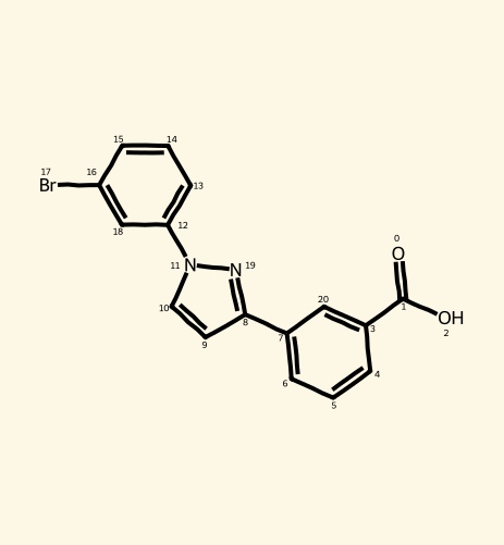 O=C(O)c1cccc(-c2ccn(-c3cccc(Br)c3)n2)c1